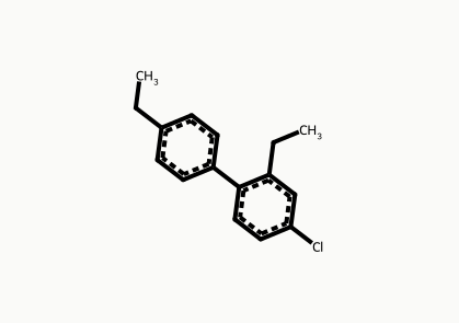 CCc1ccc(-c2ccc(Cl)cc2CC)cc1